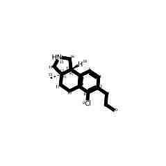 CCCc1ccc2c(c1Cl)CC[C@@]1(C)CNC[C@H]21